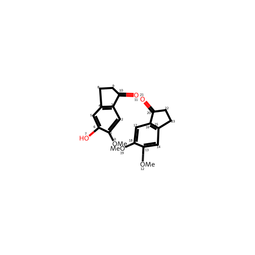 COc1cc2c(cc1O)CCC2=O.COc1cc2c(cc1OC)C(=O)CC2